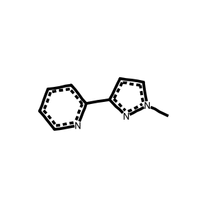 Cn1ccc(-c2ccccn2)n1